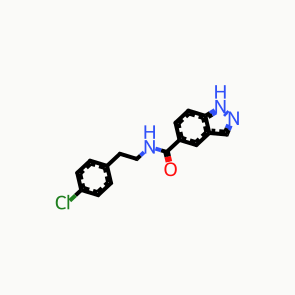 O=C(NCCc1ccc(Cl)cc1)c1ccc2[nH]ncc2c1